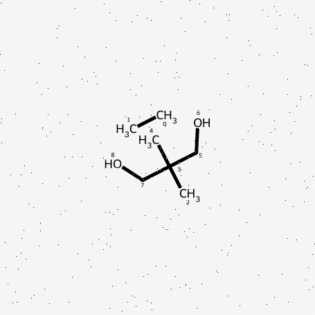 CC.CC(C)(CO)CO